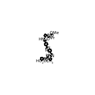 COC(=O)N[C@H](C(=O)N1CCC[C@H]1c1nc(-c2ccc(-c3cnc4cc(-c5cnc([C@@H]6CCCN6C(=O)[C@@H](Cc6ccccc6)N(C)C(=O)O)[nH]5)ccc4n3)cc2)c[nH]1)C(C)C